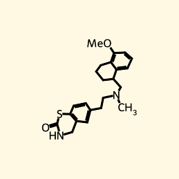 COc1cccc2c1CCCC2CN(C)CCc1ccc2c(c1)CNC(=O)S2